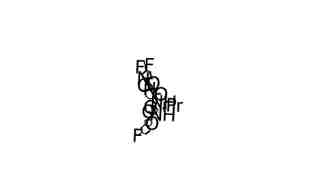 CC(C)C[C@H](NC(=O)c1cc2cc(F)ccc2o1)C(=O)N[C@H]1CC[C@@H](C)N(S(=O)(=O)c2ccc(C(C)(F)F)cn2)CC1=O